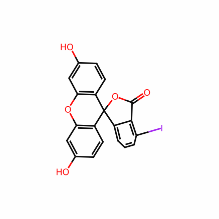 O=C1OC2(c3ccc(O)cc3Oc3cc(O)ccc32)c2cccc(I)c21